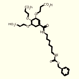 O=C(O)CCO[C@@H]1[C@H](OCCC(=O)O)C=C(C(=O)NCCCCCCNC(=O)OCc2ccccc2)C[C@H]1OCCC(=O)O